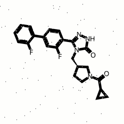 O=C(C1CC1)N1CC[C@@H](Cn2c(-c3ccc(-c4ccccc4F)cc3F)n[nH]c2=O)C1